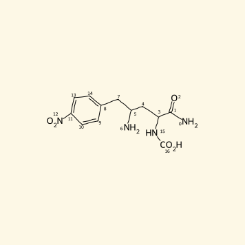 NC(=O)C(CC(N)Cc1ccc([N+](=O)[O-])cc1)NC(=O)O